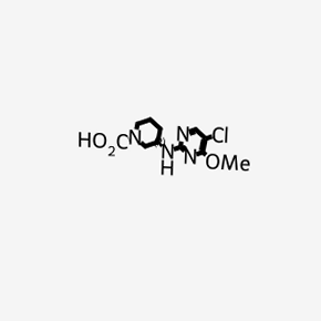 COc1nc(N[C@@H]2CCCN(C(=O)O)C2)ncc1Cl